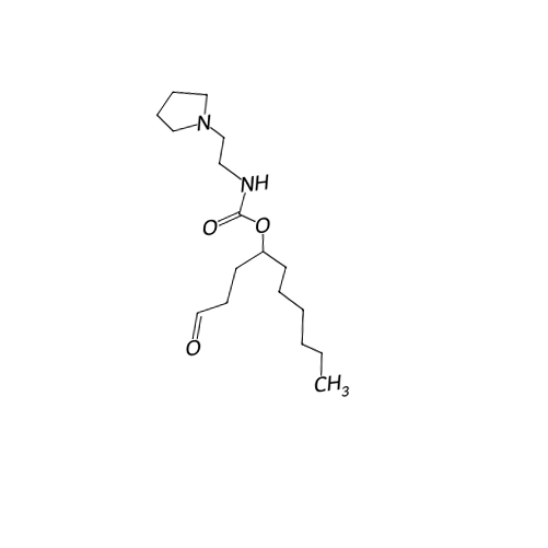 CCCCCCC(CCC=O)OC(=O)NCCN1CCCC1